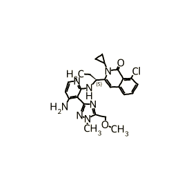 CC[C@H](Nc1nccc(N)c1-c1nc(COC)n(C)n1)c1cc2cccc(Cl)c2c(=O)n1C1CC1